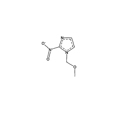 COCn1ccnc1[N+](=O)[O-]